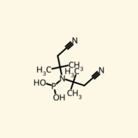 CC(C)(CC#N)N(P(O)O)C(C)(C)CC#N